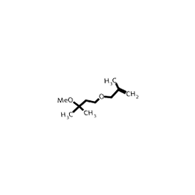 C=C(C)COCCC(C)(C)OC